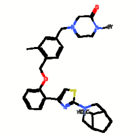 Cc1cc(CN2CCN(C(C)C)C(=O)C2)ccc1COc1ccccc1-c1csc(N2CC3CCC(C2)C3C(=O)O)n1